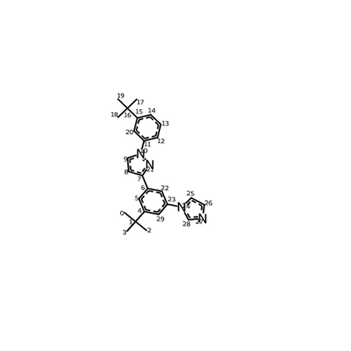 CC(C)(C)c1cc(-c2ccn(-c3cccc(C(C)(C)C)c3)n2)cc(-n2ccnc2)c1